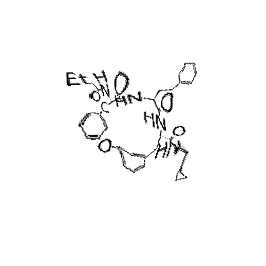 CCC(=O)N[C@H]1Cc2cccc(c2)Oc2cccc(c2)C[C@@H](C(=O)NCC2CC2)NC(=O)[C@H](CCc2ccccc2)NC1=O